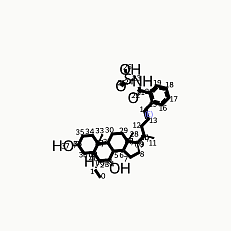 CC[C@H]1[C@@H](O)C2C3CC[C@H]([C@H](C)C/C=C/c4ccccc4C(=O)NS(=O)O)[C@@]3(C)CCC2[C@@]2(C)CC[C@@H](O)C[C@@H]12